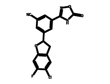 N#Cc1cc(-c2noc(=O)[nH]2)cc(C2Cc3cc(Cl)c(F)cc3O2)c1